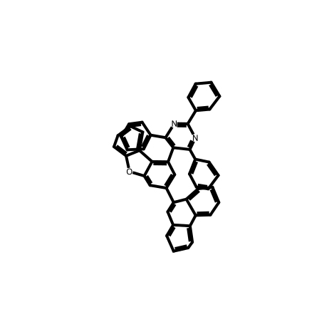 c1ccc(-c2nc(-c3ccccc3)c(-c3cc(-c4cc5ccccc5c5ccccc45)cc4oc5ccccc5c34)c(-c3ccccc3)n2)cc1